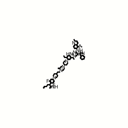 C=CCCC(C(=C)NC)c1c(F)cc(N2CCC(CCN3CCN(C4CCN(c5cc(CC)c(Nc6ncc(-n7nnc8ccccc87)c(Nc7ccc8nc(C)ccc8c7P(=C)(C)C)n6)cc5CC)CC4)CC3=C)CC2)cc1F